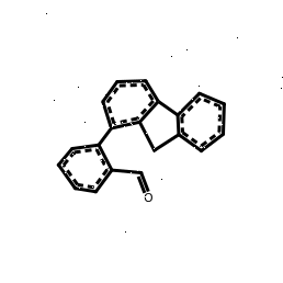 O=Cc1ccccc1-c1cccc2c1Cc1ccccc1-2